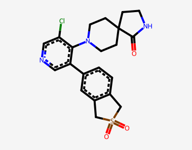 O=C1NCCC12CCN(c1c(Cl)cncc1-c1ccc3c(c1)CS(=O)(=O)C3)CC2